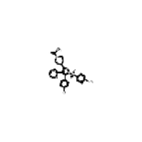 CC(=O)N1CCC(c2nn(S(=O)(=O)c3ccc(C)cc3)c(-c3ccc(Cl)cc3)c2-c2ccncn2)CC1